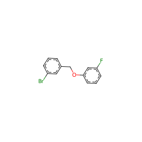 Fc1cccc(OCc2cccc(Br)c2)c1